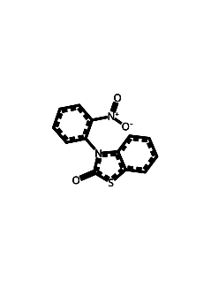 O=c1sc2ccccc2n1-c1ccccc1[N+](=O)[O-]